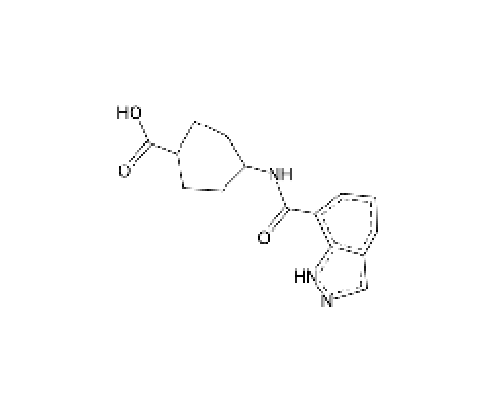 O=C(NC1CCC(C(=O)O)CC1)c1cccc2cn[nH]c12